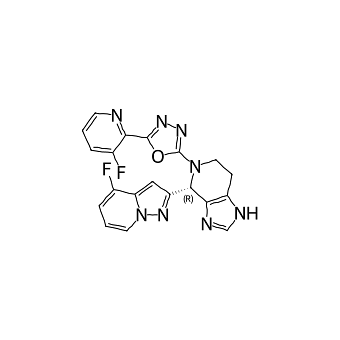 Fc1cccnc1-c1nnc(N2CCc3[nH]cnc3[C@@H]2c2cc3c(F)cccn3n2)o1